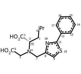 CC(C)C[C@@H](C(=O)O)N(CC(=O)O)Cc1csc(-c2ccccc2)n1